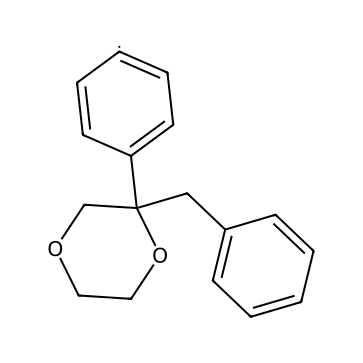 [c]1ccc(C2(Cc3ccccc3)COCCO2)cc1